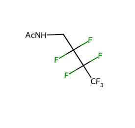 CC(=O)NCC(F)(F)C(F)(F)C(F)(F)F